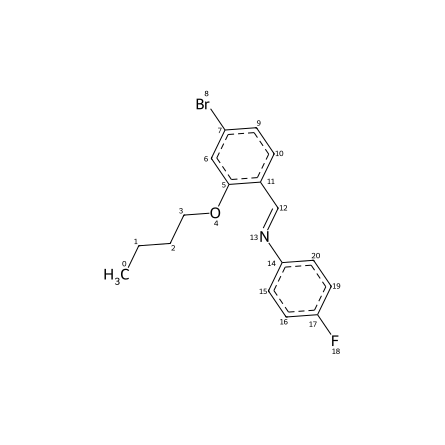 CCCCOc1cc(Br)ccc1/C=N/c1ccc(F)cc1